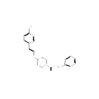 O=C(OCc1ccccc1)N1CCC(OC=Cc2ccc(C(F)(F)F)cc2)CC1